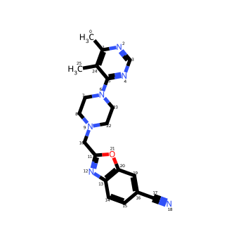 Cc1ncnc(N2CCN(Cc3nc4ccc(C#N)cc4o3)CC2)c1C